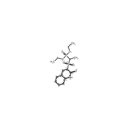 CCOP(=O)(OCC)C(C)S(=O)(=O)c1cc2ccccc2[nH]c1=O